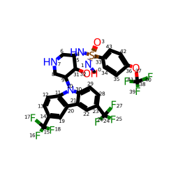 CN=S(=O)(NC1CNCC(n2c3ccc(C(F)(F)F)cc3c3cc(C(F)(F)F)ccc32)C1O)c1ccc(OC(F)(F)F)cc1